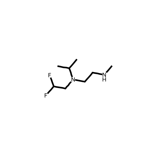 CNCCN(CC(F)F)C(C)C